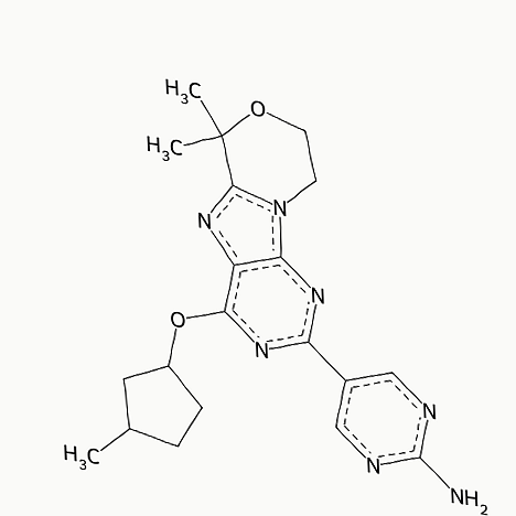 CC1CCC(Oc2nc(-c3cnc(N)nc3)nc3c2nc2n3CCOC2(C)C)C1